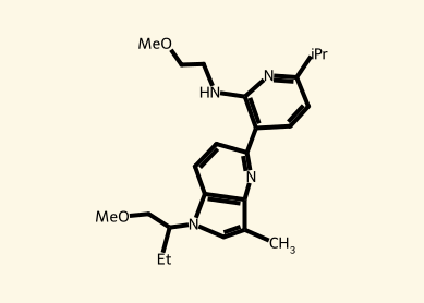 CCC(COC)n1cc(C)c2nc(-c3ccc(C(C)C)nc3NCCOC)ccc21